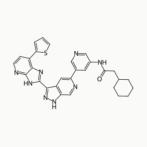 O=C(CC1CCCCC1)Nc1cncc(-c2cc3c(-c4nc5c(-c6cccs6)ccnc5[nH]4)n[nH]c3cn2)c1